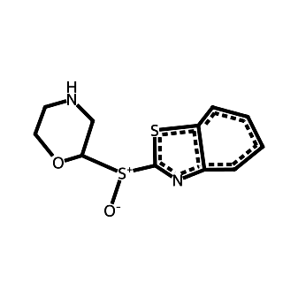 [O-][S+](c1nc2ccccc2s1)C1CNCCO1